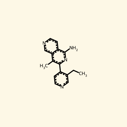 CCc1cnccc1-c1nc(N)c2ccncc2c1C